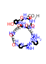 N=N\C1=N/N=C(c2ccccn2)\N=C(/N)NCCC[C@H]2NC(=O)CNC(=O)[C@@H](CC(=O)O)NC(=O)[C@H](Cc3ccc(O)cc3)NC(=O)[C@@H](CCCCNC(=O)CCCC(=O)Nc3ccc1nc3)NC2=O